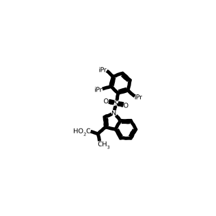 CC(C)c1ccc(C(C)C)c(S(=O)(=O)n2cc(C(C)C(=O)O)c3ccccc32)c1C(C)C